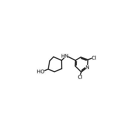 OC1CCC(Nc2cc(Cl)nc(Cl)c2)CC1